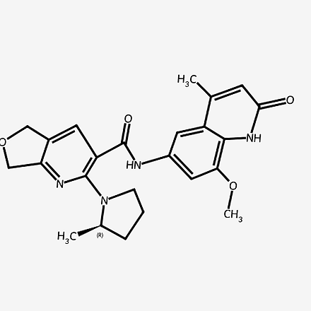 COc1cc(NC(=O)c2cc3c(nc2N2CCC[C@H]2C)COC3)cc2c(C)cc(=O)[nH]c12